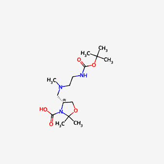 CN(CCNC(=O)OC(C)(C)C)C[C@@H]1COC(C)(C)N1C(=O)O